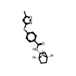 Cc1cc(Sc2ccc(C(=O)N[C@@H]3C[C@H]4CC[C@@H]3N4)cc2)no1